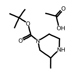 CC(=O)O.CC1CN(C(=O)OC(C)(C)C)CCN1